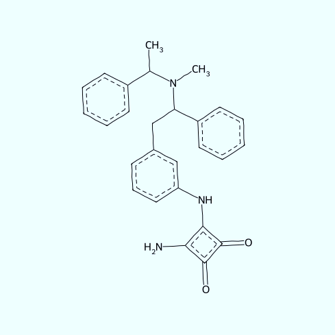 CC(c1ccccc1)N(C)C(Cc1cccc(Nc2c(N)c(=O)c2=O)c1)c1ccccc1